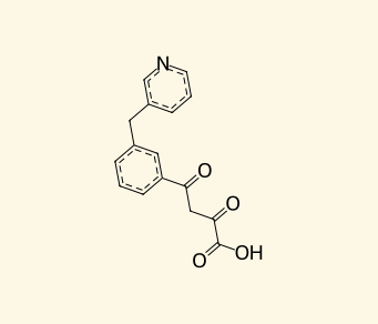 O=C(O)C(=O)CC(=O)c1cccc(Cc2cccnc2)c1